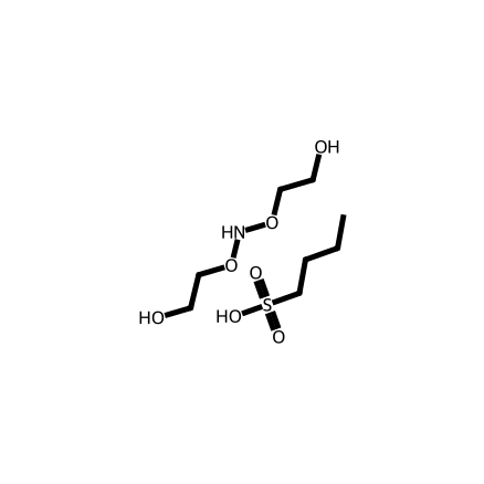 CCCCS(=O)(=O)O.OCCONOCCO